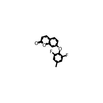 Cc1cc(F)c(Oc2ccc3ccc(=O)oc3c2)c(F)c1